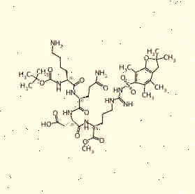 COC(=O)[C@H](CCCNC(=N)NS(=O)(=O)c1c(C)c(C)c2c(c1C)OC(C)(C)C2)NC(=O)[C@H](CC(=O)O)NC(=O)[C@H](CCC(N)=O)NC(=O)[C@H](CCCCN)NC(=O)OC(C)(C)C